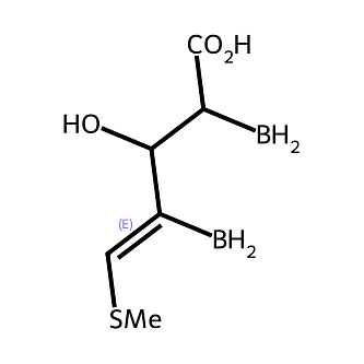 B/C(=C\SC)C(O)C(B)C(=O)O